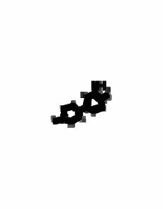 Cc1ccc(N2CCN(C)CC2)cc1N